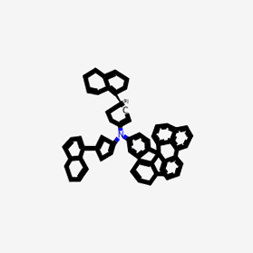 CC1CC=CC=C1C1(c2ccc(N(C3=CCC(C4=CC=CC5CCC=CC45)=C3)C3=CC[C@H](C4=C5C=CCCC5=CCC4)CC3)cc2)c2ccccc2-c2cccc3cccc1c23